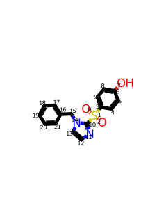 O=S(=O)(c1ccc(O)cc1)c1nccn1Cc1ccccc1